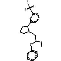 COC(CN1CCCC1c1cccc(C(F)(F)F)c1)Oc1ccccc1